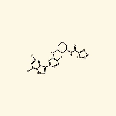 O=C(N[C@@H]1CCC[C@H](Nc2nc(-c3c[nH]c4c(F)cc(F)cc34)ncc2F)C1)c1ncn[nH]1